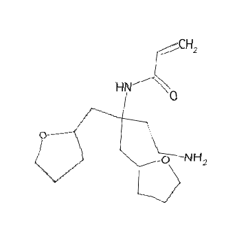 C=CC(=O)NC(CCN)(CC1CCCO1)CC1CCCO1